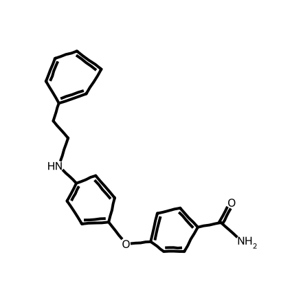 NC(=O)c1ccc(Oc2ccc(NCCc3ccccc3)cc2)cc1